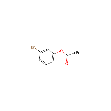 CCCC(=O)Oc1cccc(Br)c1